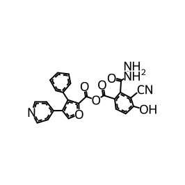 N#Cc1c(O)ccc(C(=O)OC(=O)c2occ(-c3ccncc3)c2-c2ccccc2)c1C(=O)NN